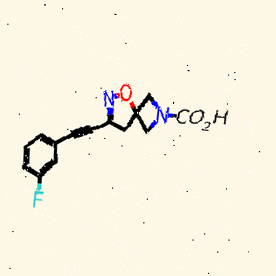 O=C(O)N1CC2(CC(C#Cc3cccc(F)c3)=NO2)C1